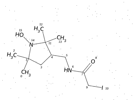 CC1(C)CC(CNC(=O)CI)C(C)(C)N1O